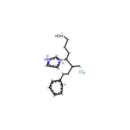 CCCCCCCCCCCCCC(C(C)CCc1ccccc1)[n+]1cc[nH]c1.[Cl-]